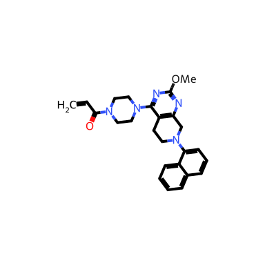 C=CC(=O)N1CCN(c2nc(OC)nc3c2CCN(c2cccc4ccccc24)C3)CC1